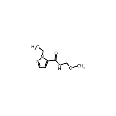 CCn1nccc1C(=O)NCOC